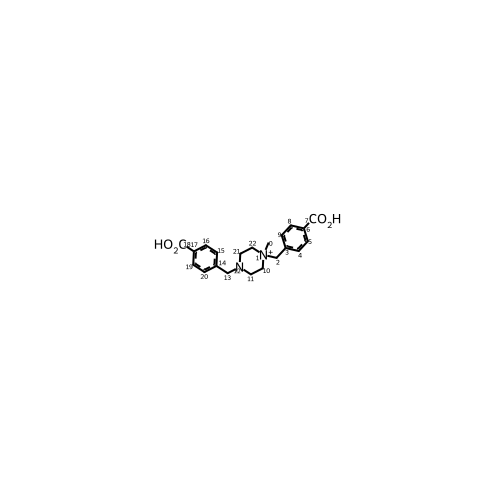 C[N+]1(Cc2ccc(C(=O)O)cc2)CCN(Cc2ccc(C(=O)O)cc2)CC1